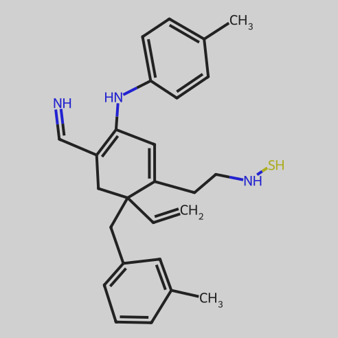 C=CC1(Cc2cccc(C)c2)CC(C=N)=C(Nc2ccc(C)cc2)C=C1CCNS